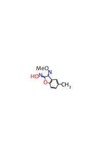 CON=C1C(=NO)Oc2ccc(C)cc21